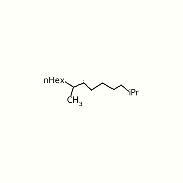 CCCCCCC(C)[CH]CCCCC(C)C